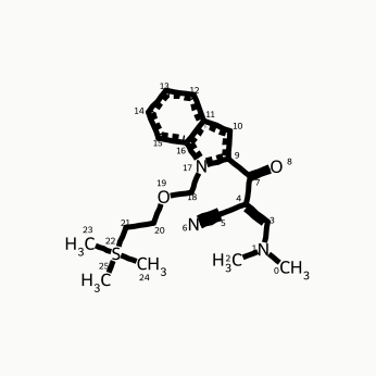 CN(C)/C=C(\C#N)C(=O)c1cc2ccccc2n1COCCS(C)(C)C